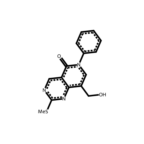 CSc1ncc2c(=O)n(-c3ccccc3)cc(CO)c2n1